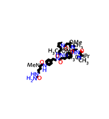 CCC(C)C(C(CC(=O)N1CCCC1C(OC)C(C)C(=O)NC(Cc1ccccc1)C(=O)NCCc1ccc(NC(=O)C(CCCNC(N)=O)NC)cc1)OC)N(C)C(=O)CNC(=O)C(C(C)C)N(C)C